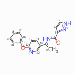 CC(NC(=O)c1cc[nH]n1)c1ccc(Oc2ccccc2)nc1